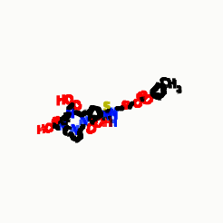 Cc1ccc(OC(=O)OCCOCCNC(=S)Nc2ccc(CC3CN(CC(=O)O)CCN(CC(=O)O)Cc4cccc(n4)CN3CC(=O)O)cc2)cc1